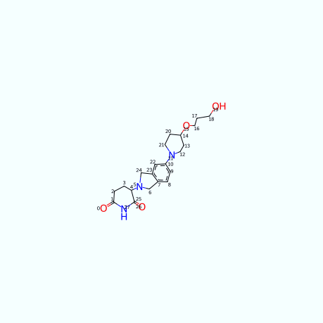 O=C1CCC(N2Cc3ccc(N4CCC(OCCCO)CC4)cc3C2)C(=O)N1